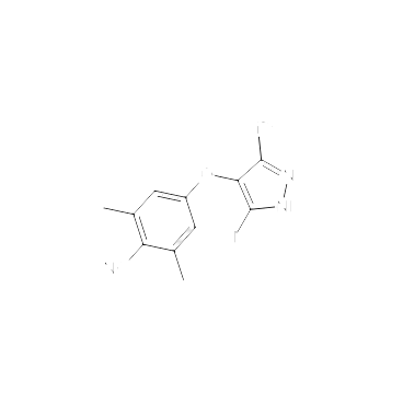 Cc1cc(Oc2c(C(C)C)n[nH]c2I)cc(C)c1C#N